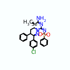 C[Se]/C(N)=N\C(=N\S(=O)(=O)c1ccccc1)N1CCC(c2ccccc2)C(c2ccc(Cl)cc2)=N1